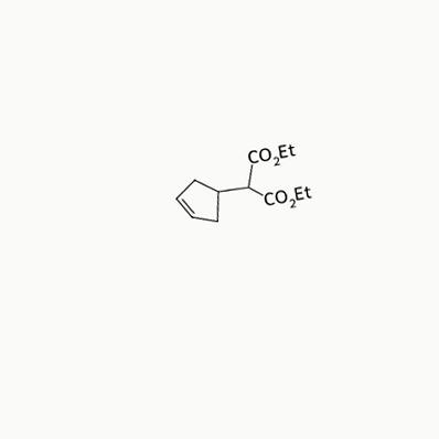 CCOC(=O)C(C(=O)OCC)C1CC=CC1